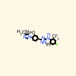 COc1cc(-c2nc(Nc3ccc(F)cc3C(F)(F)F)n(C(C)C)n2)ccc1-n1cnc(C)c1